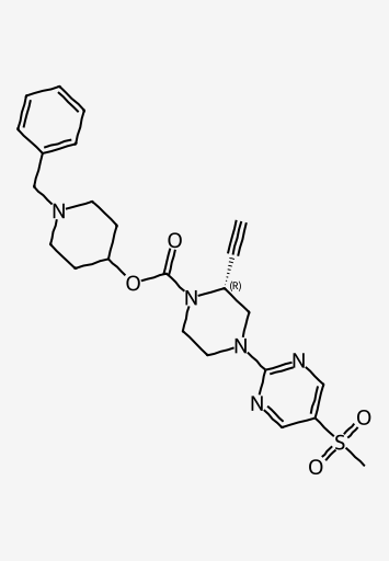 C#C[C@@H]1CN(c2ncc(S(C)(=O)=O)cn2)CCN1C(=O)OC1CCN(Cc2ccccc2)CC1